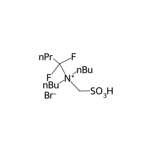 CCCC[N+](CCCC)(CS(=O)(=O)O)C(F)(F)CCC.[Br-]